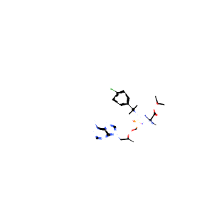 CC(C)OC(=O)C(C)(C)NP(=O)(COC(C)Cn1cnc2c(N)ncnc21)NC(C)(C)c1ccc(Cl)cc1